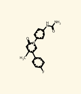 Cc1cc(=O)n(-c2ccc(NC(N)=O)cc2)cc1-c1ccc(F)cc1